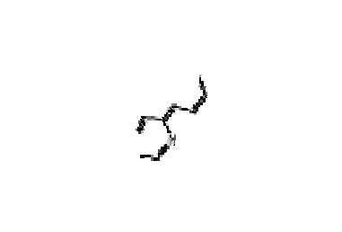 C=CC(=C/C=C\C)/N=C\C